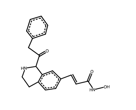 O=C(C=Cc1ccc2c(c1)C(C(=O)Cc1ccccc1)NCC2)NO